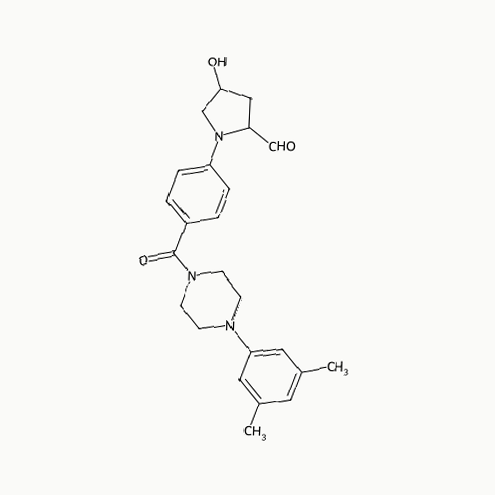 Cc1cc(C)cc(N2CCN(C(=O)c3ccc(N4CC(O)CC4C=O)cc3)CC2)c1